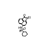 CCN1C(=O)c2cccc3c(NS(=O)(=O)C4CCCCC4)ccc1c23